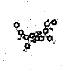 C=C(/C=C\c1c(C)n(CC)c2cc(N(c3ccc(OC)cc3)c3ccc4c(c3)C3(c5ccccc5Sc5ccccc53)c3cc(N(c5ccc(OC)cc5)c5ccc6c7ccc(Sc8ccccc8)cc7n(CC)c6c5)ccc3-4)ccc12)Sc1ccccc1